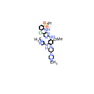 COc1cc(N2CCC(N3CCN(C)CC3)CC2)c(Nc2cnn(C)c2)cc1Nc1ncc(Cl)c(Nc2ccccc2S(=O)(=O)C(C)C)n1